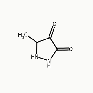 CC1NNC(=O)C1=O